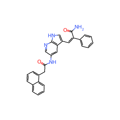 NC(=O)C(=Cc1c[nH]c2ncc(NC(=O)Cc3cccc4ccccc34)cc12)c1ccccc1